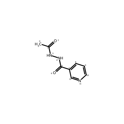 CC(=O)NNC(=O)c1cccnc1